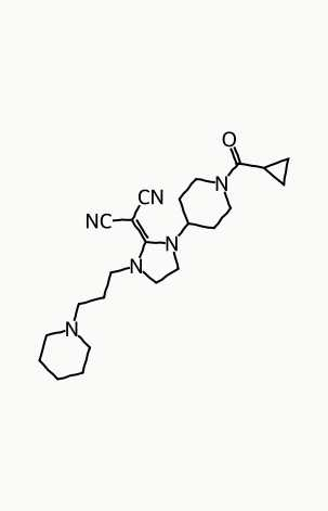 N#CC(C#N)=C1N(CCCN2CCCCC2)CCN1C1CCN(C(=O)C2CC2)CC1